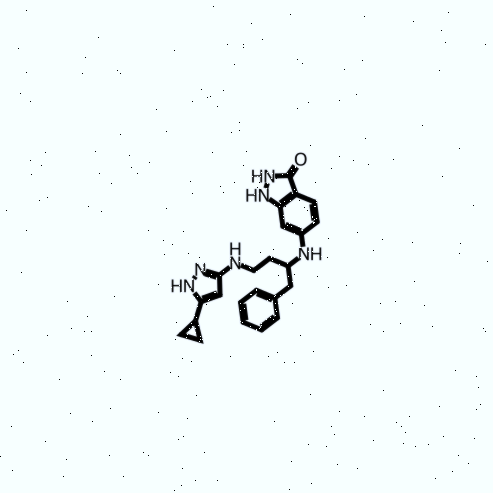 O=c1[nH][nH]c2cc(NC(CCNc3cc(C4CC4)[nH]n3)Cc3ccccc3)ccc12